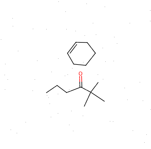 C1=CCCCC1.CCCC(=O)C(C)(C)C